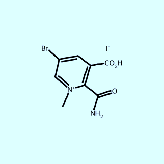 C[n+]1cc(Br)cc(C(=O)O)c1C(N)=O.[I-]